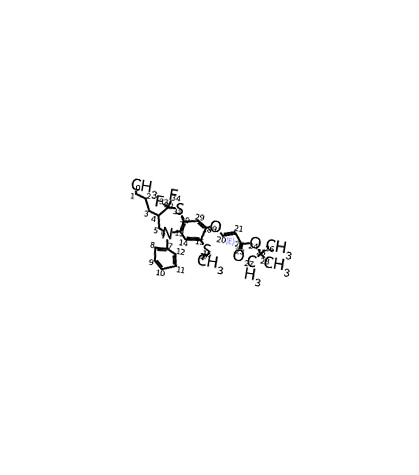 CCCCC1CN(c2ccccc2)c2cc(SC)c(O/C=C/C(=O)OC(C)(C)C)cc2SC1(F)F